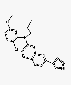 CCCN(c1ccc2ncc(-c3cn[nH]c3)nc2c1)c1cc(OC)ccc1Cl